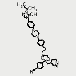 CCC(C)N1N=CN(c2ccc(N3CCN(c4ccc(OC[C@@H]5CO[C@](Cc6ccnnc6)(c6ccc(C#N)cc6)O5)cc4)CC3)cc2)C1O